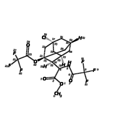 COC(=O)C(NC(=O)C(F)(F)F)[C@@H]1[C@@H]2C[C@H]3C[C@@](Cl)(C2)C[C@]1(OC(=O)C(F)(F)F)C3